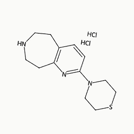 Cl.Cl.c1cc2c(nc1N1CCSCC1)CCNCC2